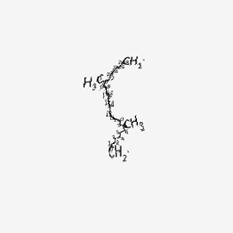 [CH2]CCCCCCC(C)CCC#CCCCCCCCC(C)CCCCCC[CH2]